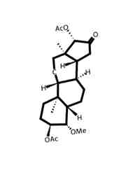 CO[C@@H]1[C@@H](OC(C)=O)CC[C@@]2(C)[C@@H]3CC[C@@]4(C)[C@H](OC(C)=O)C(=O)C[C@@H]4[C@H]3CC[C@H]12